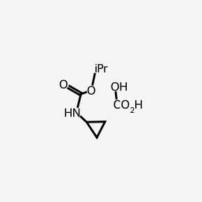 CC(C)OC(=O)NC1CC1.O=C(O)O